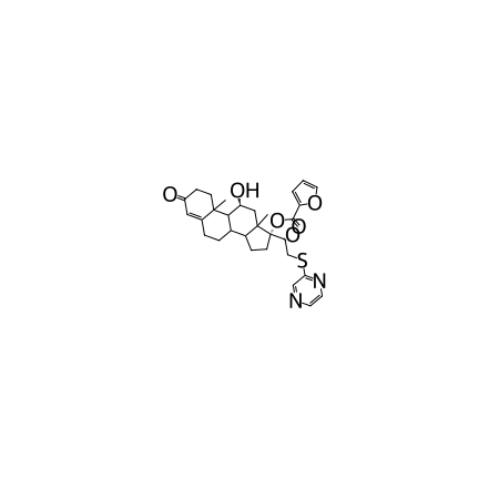 CC12CCC(=O)C=C1CCC1C2[C@@H](O)CC2(C)C1CC[C@]2(OC(=O)c1ccco1)C(=O)CSc1cnccn1